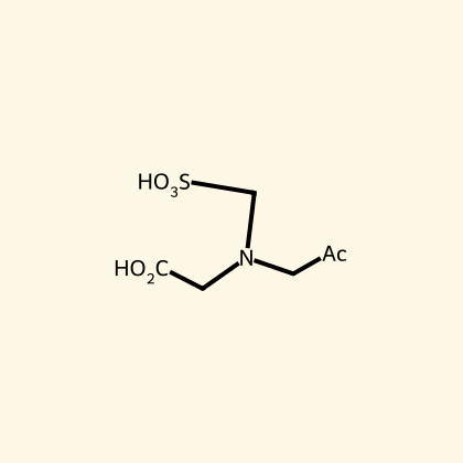 CC(=O)CN(CC(=O)O)CS(=O)(=O)O